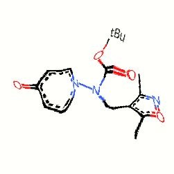 Cc1noc(C)c1CN(C(=O)OC(C)(C)C)n1ccc(=O)cc1